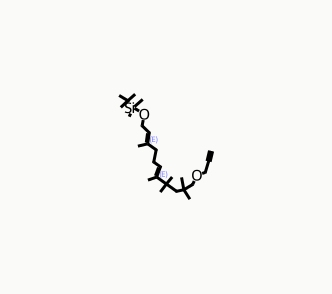 C#CCOCC(C)(C)CC(C)(C)/C(C)=C/CC/C(C)=C/CO[Si](C)(C)C(C)(C)C